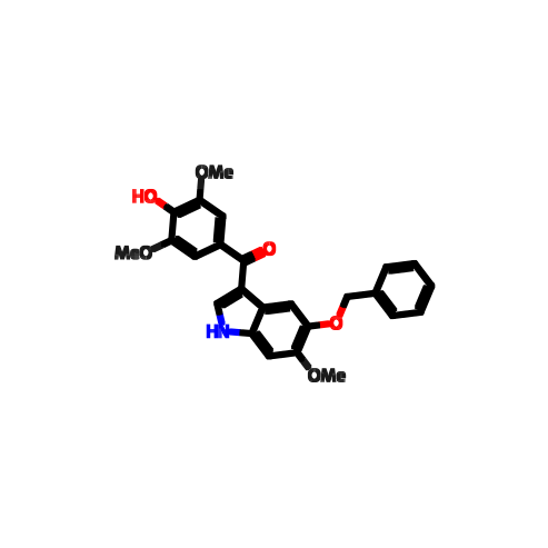 COc1cc2[nH]cc(C(=O)c3cc(OC)c(O)c(OC)c3)c2cc1OCc1ccccc1